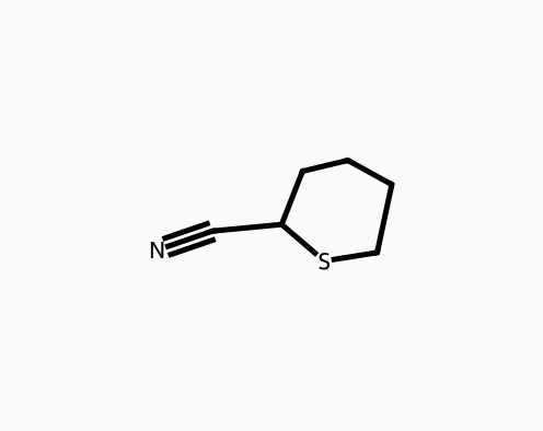 N#CC1CCCCS1